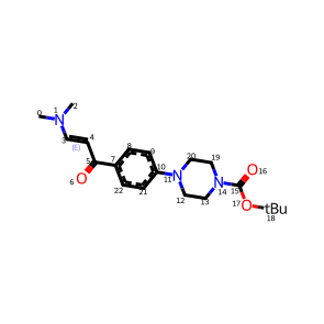 CN(C)/C=C/C(=O)c1ccc(N2CCN(C(=O)OC(C)(C)C)CC2)cc1